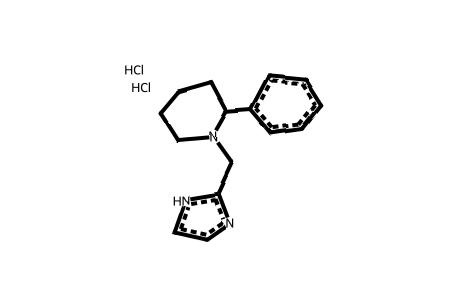 Cl.Cl.c1ccc(C2CCCCN2Cc2ncc[nH]2)cc1